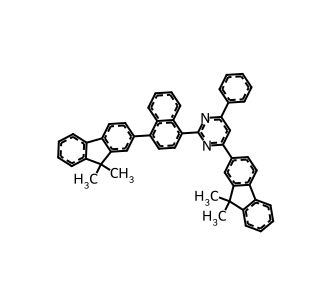 CC1(C)c2ccccc2-c2ccc(-c3cc(-c4ccccc4)nc(-c4ccc(-c5ccc6c(c5)C(C)(C)c5ccccc5-6)c5ccccc45)n3)cc21